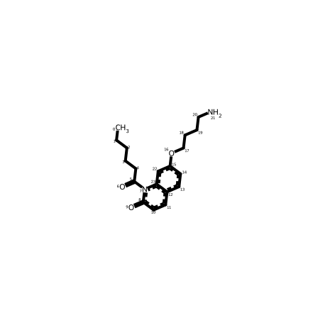 CCCCCC(=O)n1c(=O)ccc2ccc(OCCCCN)cc21